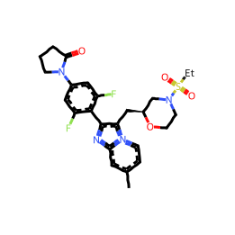 CCS(=O)(=O)N1CCO[C@@H](Cc2c(-c3c(F)cc(N4CCCC4=O)cc3F)nc3cc(C)ccn23)C1